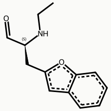 CCN[C@H](C=O)Cc1cc2ccccc2o1